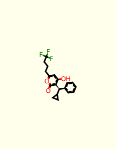 O=c1oc(CCCC(F)(F)F)cc(O)c1[C@@H](c1ccccc1)C1CC1